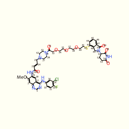 COc1cc2ncnc(Nc3ccc(F)c(Cl)c3)c2cc1NC(=O)/C=C/CN1CCN(C(=O)COCCOCCOCCSc2cccc3c2CN(C2CCC(=O)NC2=O)C3=O)CC1